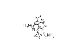 NCCC1CCN1c1nc(N)nc2c1CCCC21CCCC1